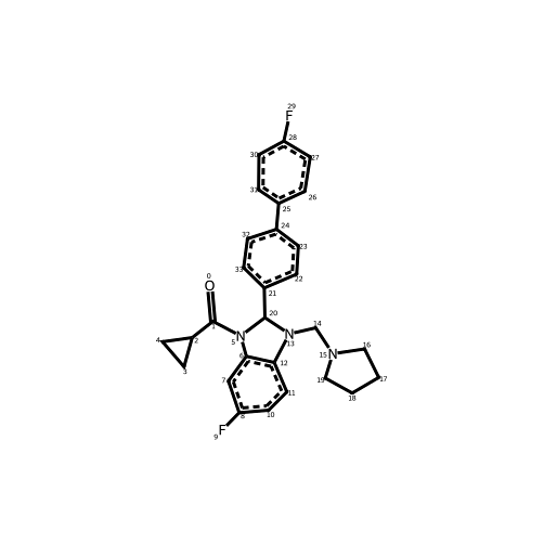 O=C(C1CC1)N1c2cc(F)ccc2N(CN2CCCC2)C1c1ccc(-c2ccc(F)cc2)cc1